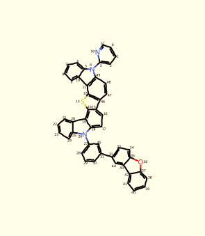 c1ccc(-n2c3ccccc3c3c4sc5c(ccc6c5c5ccccc5n6-c5cccc(-c6ccc7oc8ccccc8c7c6)c5)c4ccc32)nc1